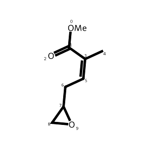 COC(=O)C(C)=CCC1CO1